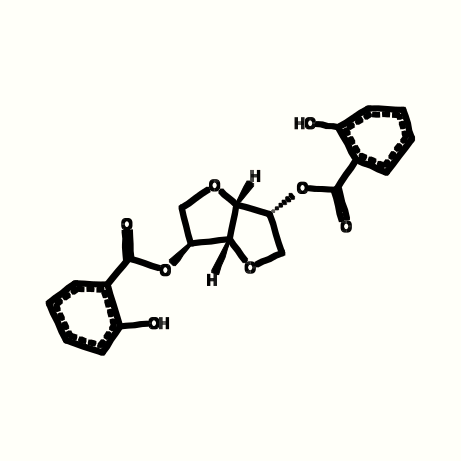 O=C(O[C@H]1CO[C@H]2[C@@H]1OC[C@H]2OC(=O)c1ccccc1O)c1ccccc1O